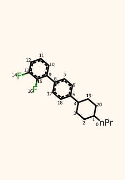 CCCC1CCC(c2ccc(-c3cccc(F)c3F)cc2)CC1